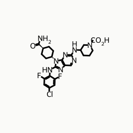 NC(=O)[C@H]1CC[C@H](n2c(Nc3c(F)cc(Cl)cc3F)nc3cnc(NC4CCCN(C(=O)O)C4)nc32)CC1